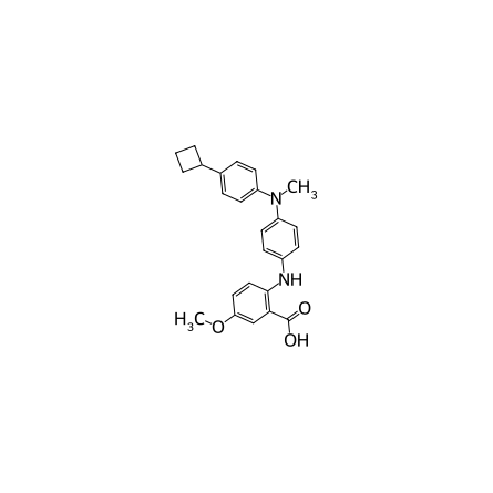 COc1ccc(Nc2ccc(N(C)c3ccc(C4CCC4)cc3)cc2)c(C(=O)O)c1